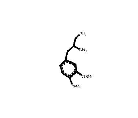 COc1ccc(CC(N)CN)cc1OC